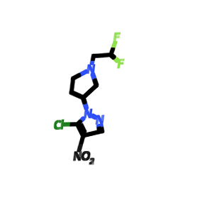 O=[N+]([O-])c1cnn(C2CCN(CC(F)F)C2)c1Cl